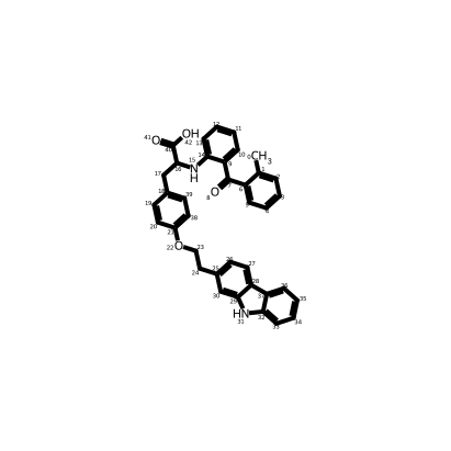 Cc1ccccc1C(=O)c1ccccc1NC(Cc1ccc(OCCc2ccc3c(c2)[nH]c2ccccc23)cc1)C(=O)O